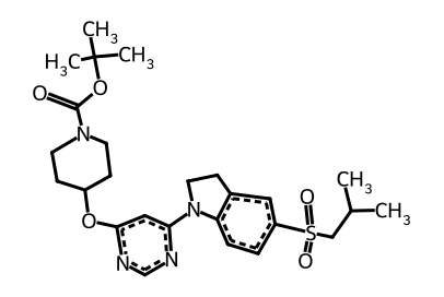 CC(C)CS(=O)(=O)c1ccc2c(c1)CCN2c1cc(OC2CCN(C(=O)OC(C)(C)C)CC2)ncn1